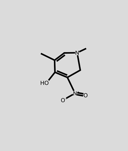 CC1=CN(C)CC([N+](=O)[O-])=C1O